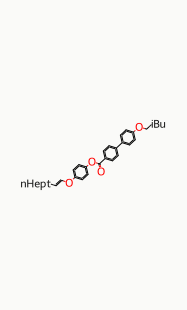 CCCCCCCC=COc1ccc(OC(=O)c2ccc(-c3ccc(OCC(C)CC)cc3)cc2)cc1